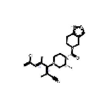 C=C(Cl)/C=C(C)/C(=C(\C)C#N)N1CC[C@H](C(=O)N2CCc3[nH]ncc3C2)[C@H](C)C1